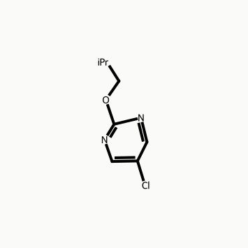 CC(C)COc1ncc(Cl)cn1